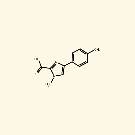 Cc1ccc(-c2cn(C)c(C(=O)O)n2)cc1